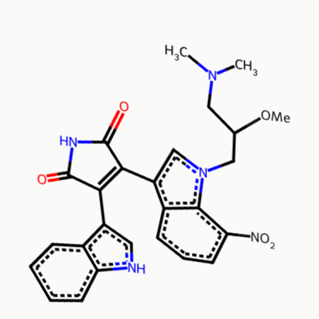 COC(CN(C)C)Cn1cc(C2=C(c3c[nH]c4ccccc34)C(=O)NC2=O)c2cccc([N+](=O)[O-])c21